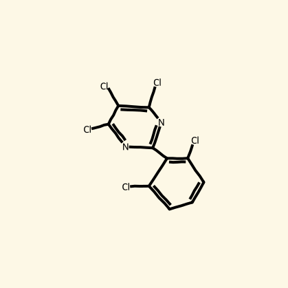 Clc1cccc(Cl)c1-c1nc(Cl)c(Cl)c(Cl)n1